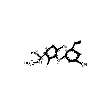 C=Cc1cc(C#N)cc(Oc2c(Cl)ccc(C(NC(=O)O)C(C)(C)C)c2F)c1